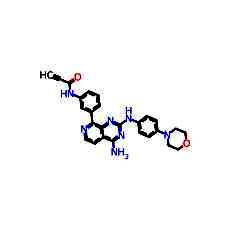 C#CC(=O)Nc1cccc(-c2nccc3c(N)nc(Nc4ccc(N5CCOCC5)cc4)nc23)c1